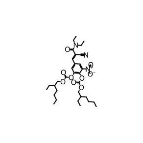 CCCCC(CC)COC(=O)Oc1cc(/C=C(\C#N)C(=O)N(CC)CC)cc([N+](=O)[O-])c1OC(=O)OCC(CC)CCCC